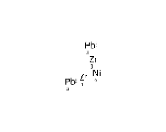 [Ni].[Pb].[Pb].[Zr].[Zr]